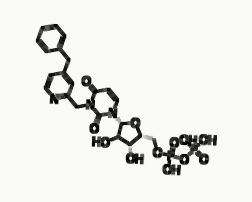 O=c1ccn([C@@H]2O[C@H](COP(=O)(O)OP(=O)(O)O)[C@H](O)C2O)c(=O)n1Cc1cc(Cc2ccccc2)ccn1